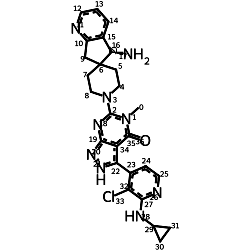 Cn1c(N2CCC3(CC2)Cc2ncccc2[C@H]3N)nc2n[nH]c(-c3ccnc(NC4CC4)c3Cl)c2c1=O